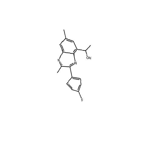 Cc1cc(C(C)O)c2nc(-c3ccc(F)cc3)c(C)nc2c1